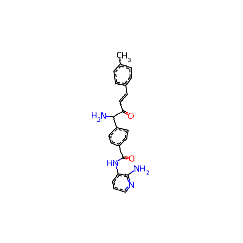 Cc1ccc(C=CC(=O)C(N)c2ccc(C(=O)Nc3cccnc3N)cc2)cc1